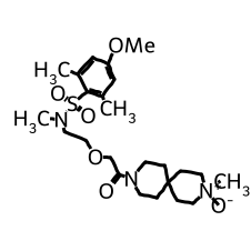 COc1cc(C)c(S(=O)(=O)N(C)CCOCC(=O)N2CCC3(CC2)CC[N+](C)([O-])CC3)c(C)c1